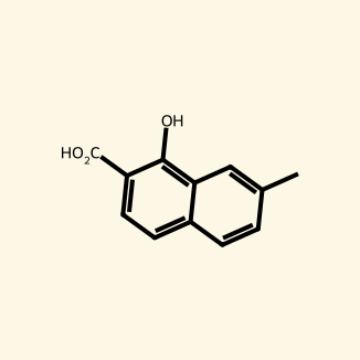 Cc1ccc2ccc(C(=O)O)c(O)c2c1